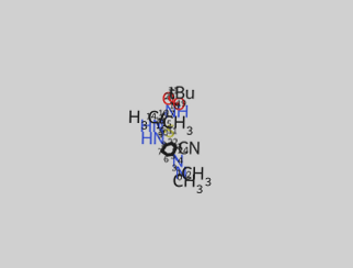 CN(C)C=Nc1ccc(NC(=S)NC(C)(C)CNC(=O)OC(C)(C)C)cc1C#N